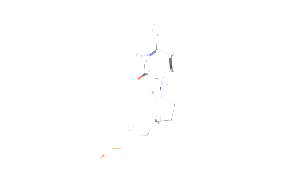 CC1C[C@H](n2ccc(N)nc2=O)O[C@@H]1CPPP=O